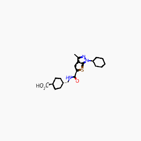 Cc1nn(C2CCCCC2)c2sc(C(=O)NC[C@H]3CC[C@H](C(=O)O)CC3)cc12